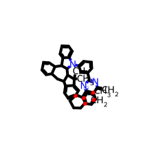 C=C(C)/C(=N\C(=N/C(=C)c1ccccc1)c1cccc(N2c3ccccc3C3C4C=CC=CC4CC4c5ccccc5C(C)(C)C4C32)c1)C1CCCCC1